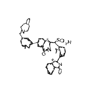 O=c1nc(-c2cccc(C(c3nc(=O)c4cc(-c5cc(CN6CCOCC6)ccn5)ccc4s3)S(=O)(=O)O)n2)sc2ccccc12